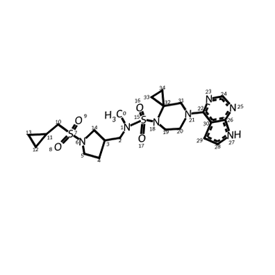 CN(CC1CCN(S(=O)(=O)CC2CC2)C1)S(=O)(=O)N1CCN(c2ncnc3[nH]ccc23)CC12CC2